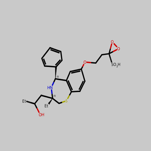 CCC(O)C[C@@]1(CC)CSc2ccc(OCCC3(S(=O)(=O)O)OO3)cc2[C@H](c2ccccc2)N1